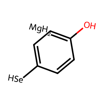 Oc1ccc([SeH])cc1.[MgH2]